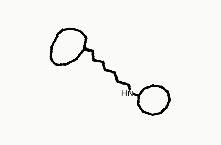 C1CCCCCC(CCCCCCCNC2CCCCCCCCCC2)CCCC1